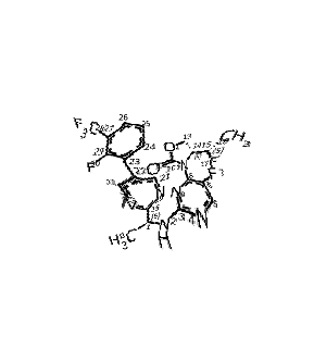 C[C@H](Nc1ncc(F)c(N2C(=O)OC[C@@H]2[C@H](C)F)n1)c1ncc(-c2cccc(C(F)(F)F)c2F)cn1